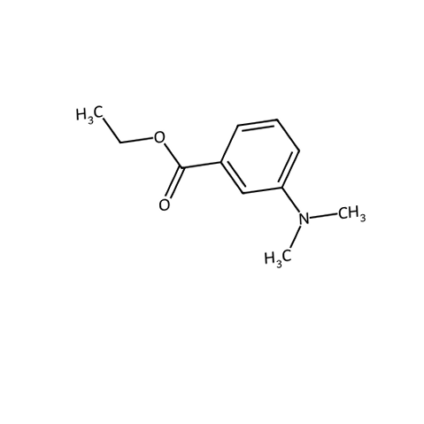 CCOC(=O)c1cccc(N(C)C)c1